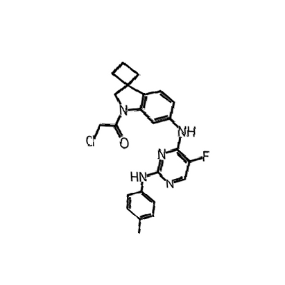 Cc1ccc(Nc2ncc(F)c(Nc3ccc4c(c3)N(C(=O)CCl)CC43CCC3)n2)cc1